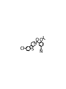 CC(C)Oc1ccc(C#N)cc1C(=O)N1CCc2c(sc3ccc(Cl)cc23)C1